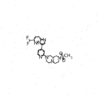 CS(=O)(=O)N1CCN2CCN(c3cc(-c4cnc5ccc(C(F)F)nn45)ccn3)CC2C1